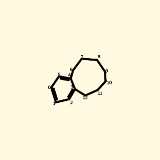 c1ccc2c(c1)CCCCCCC2